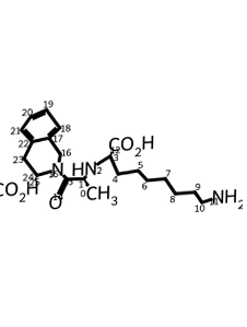 C[C@H](N[C@@H](CCCCCCCN)C(=O)O)C(=O)N1Cc2ccccc2C[C@H]1C(=O)O